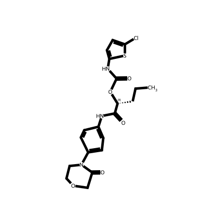 CCC[C@@H](OC(=O)Nc1ccc(Cl)s1)C(=O)Nc1ccc(N2CCOCC2=O)cc1